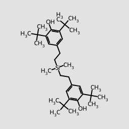 CC(C)(C)c1cc(CC[Si](C)(C)CCc2cc(C(C)(C)C)c(O)c(C(C)(C)C)c2)cc(C(C)(C)C)c1O